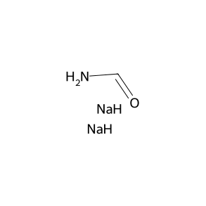 NC=O.[NaH].[NaH]